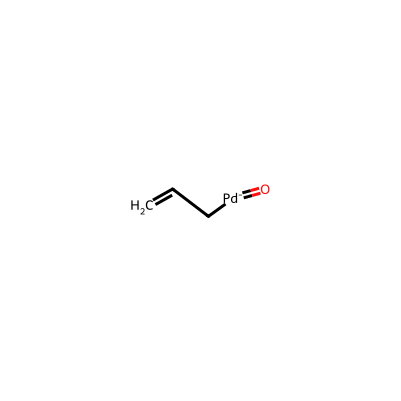 C=C[CH2][Pd-]=[O]